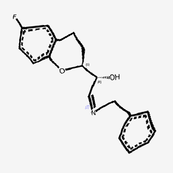 O[C@H](/C=N\Cc1ccccc1)[C@@H]1CCc2cc(F)ccc2O1